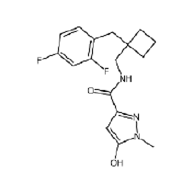 Cn1nc(C(=O)NCC2(Cc3ccc(F)cc3F)CCC2)cc1O